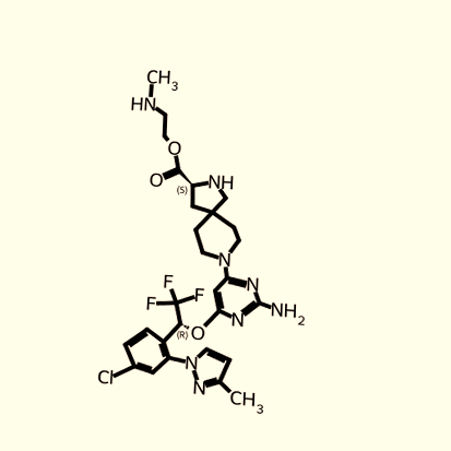 CNCCOC(=O)[C@@H]1CC2(CCN(c3cc(O[C@H](c4ccc(Cl)cc4-n4ccc(C)n4)C(F)(F)F)nc(N)n3)CC2)CN1